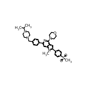 CC(C)N1CCN(Cc2ccc(-c3cc4c(cc(-c5ccc(S(C)(=O)=O)cc5)n4C)c(N4CCOCC4)n3)cc2)CC1